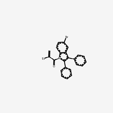 C=C(CC)C(=O)n1c(-c2ccccc2)c(-c2ccccc2)c2cc(Br)ccc21